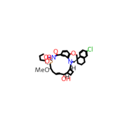 CO[C@H]1C/C=C/[C@H](O)[C@@H]2CC[C@H]2CN2C[C@@]3(CCCc4cc(Cl)ccc43)COc3ccc(cc32)C(=O)NS(=O)(=O)[C@H]1C[C@@H]1CCCO1